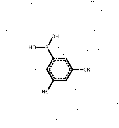 N#Cc1cc(C#N)cc(B(O)O)c1